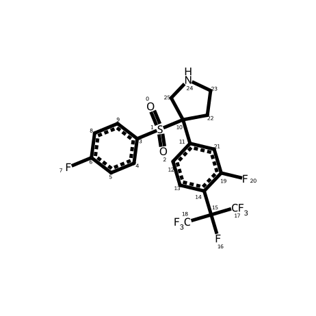 O=S(=O)(c1ccc(F)cc1)C1(c2ccc(C(F)(C(F)(F)F)C(F)(F)F)c(F)c2)CCNC1